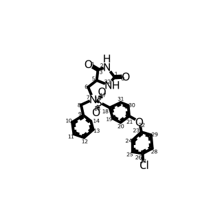 O=C1NC(=O)C(CN(Cc2ccccc2)S(=O)(=O)c2ccc(Oc3ccc(Cl)cc3)cc2)N1